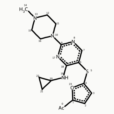 CC(=O)c1ccc(Sc2cnc(N3CCN(C)CC3)nc2NC2CC2)o1